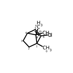 CC12CCC(C=C1Cl)C2(C)C